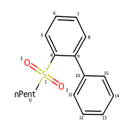 CCCCCS(=O)(=O)c1ccccc1-c1ccccc1